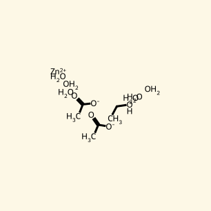 CC(=O)[O-].CC(=O)[O-].CCO.O.O.O.O.O.O.[Zn+2]